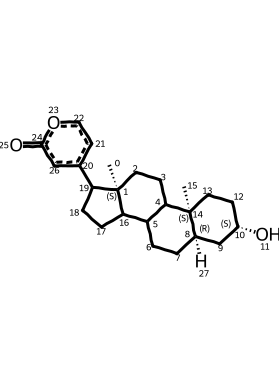 C[C@]12CCC3C(CC[C@@H]4C[C@@H](O)CC[C@]34C)C1CCC2c1ccoc(=O)c1